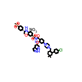 CC1(C)CCC(CN2CCN(c3ccc(C(=O)NS(=O)(=O)c4cc5c(c([N+](=O)[O-])c4)N[C@@H](c4ccc(S(C)(=O)=O)cc4)CO5)c(Oc4cnc5[nH]ccc5c4)c3)CC2)=C(c2ccc(Cl)cc2)C1